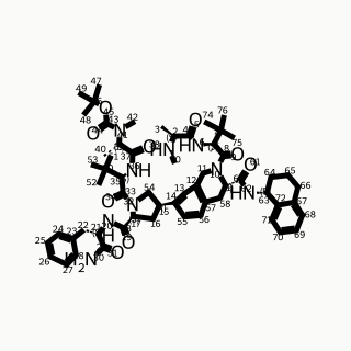 CN[C@@H](C)C(=O)N[C@H](C(=O)N1Cc2cc([C@H]3C[C@@H](C(=O)N[C@@H](Cc4ccccc4)C(N)=O)N(C(=O)[C@@H](NC(=O)[C@H](C)N(C)C(=O)OC(C)(C)C)C(C)(C)C)C3)ccc2C[C@H]1C(=O)N[C@@H]1CCCc2ccccc21)C(C)(C)C